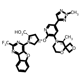 C[C@@H]1N(c2cc(-c3cnn(C)n3)cnc2O[C@H]2C[C@@H](C(=O)O)N(c3nc(C(F)(F)F)nc4c3oc3ccccc34)C2)CCOC12COC2